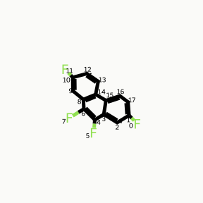 Fc1[c]c2c(F)c(F)c3cc(F)[c]cc3c2cc1